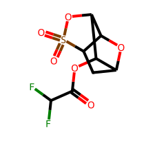 O=C(OC1C2CC3C(O2)C1OS3(=O)=O)C(F)F